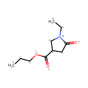 CCCOC(=O)C1CC(=O)N(CC)C1